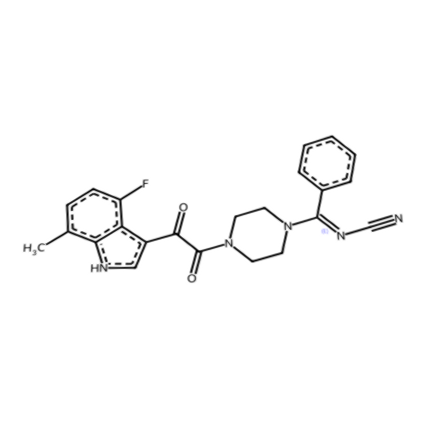 Cc1ccc(F)c2c(C(=O)C(=O)N3CCN(/C(=N/C#N)c4ccccc4)CC3)c[nH]c12